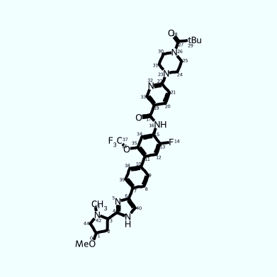 COC1CC(c2nc(-c3ccc(-c4cc(F)c(NC(=O)c5ccc(N6CCN(C(=O)C(C)(C)C)CC6)nc5)cc4OC(F)(F)F)cc3)c[nH]2)N(C)C1